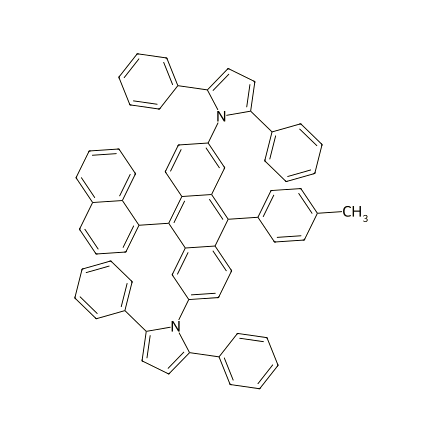 Cc1ccc(-c2c3cc(-n4c(-c5ccccc5)ccc4-c4ccccc4)ccc3c(-c3cccc4ccccc34)c3cc(-n4c(-c5ccccc5)ccc4-c4ccccc4)ccc23)cc1